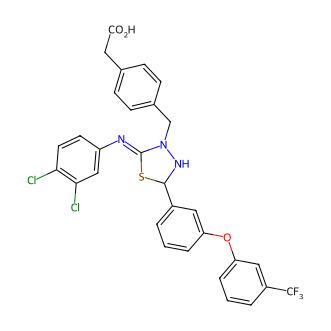 O=C(O)Cc1ccc(CN2NC(c3cccc(Oc4cccc(C(F)(F)F)c4)c3)SC2=Nc2ccc(Cl)c(Cl)c2)cc1